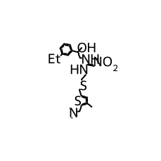 CCc1cccc(C(O)CN/C(=C\[N+](=O)[O-])NCCSCc2cc(C)c(CN(C)C)s2)c1